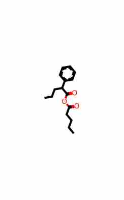 CCCCC(=O)OC(=O)C(CCC)c1ccccc1